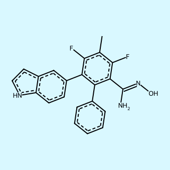 Cc1c(F)c(C(N)=NO)c(-c2ccccc2)c(-c2ccc3[nH]ccc3c2)c1F